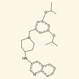 CC(C)Oc1cc(CN2CCC(Nc3cnc4ccccc4c3)CC2)cc(OC(C)C)c1